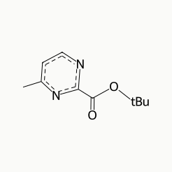 Cc1ccnc(C(=O)OC(C)(C)C)n1